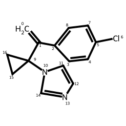 C=C(c1ccc(Cl)cc1)C1(n2ccnc2)CC1